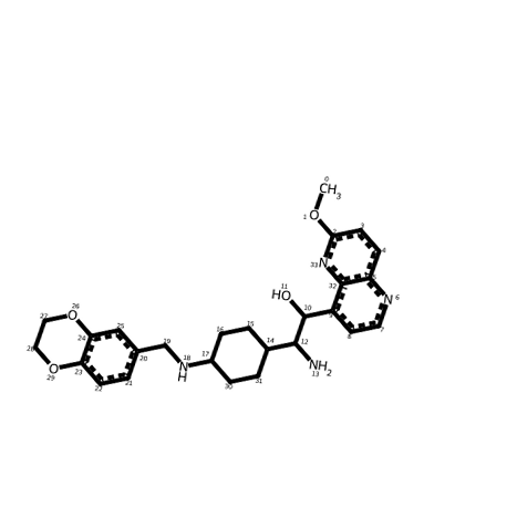 COc1ccc2nccc(C(O)C(N)C3CCC(NCc4ccc5c(c4)OCCO5)CC3)c2n1